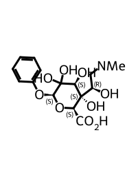 CNC[C@@H](O)[C@@]1(O)[C@@H](C(=O)O)O[C@@H](Oc2ccccc2)C(O)(O)[C@H]1O